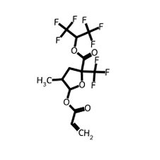 C=CC(=O)OC1OC(C(=O)OC(C(F)(F)F)C(F)(F)F)(C(F)(F)F)CC1C